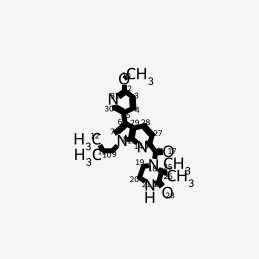 COc1ccc(-c2cn(CC(C)C)c3nc(C(=O)N4CCNC(=O)C4(C)C)ccc23)cn1